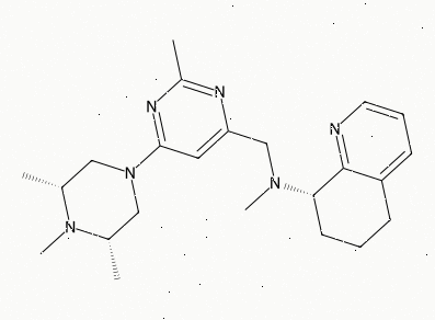 Cc1nc(CN(C)[C@H]2CCCc3cccnc32)cc(N2C[C@@H](C)N(C)[C@@H](C)C2)n1